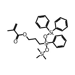 C=C(C)C(=O)OCCC[Si](O[Si](C)(C)C)(O[Si](C)(c1ccccc1)c1ccccc1)c1ccccc1